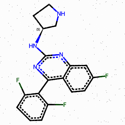 Fc1ccc2c(-c3c(F)cccc3F)nc(N[C@H]3CCNC3)nc2c1